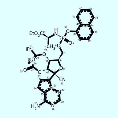 CCOC(=O)[C@H](C)N[P@](=O)(OC[C@H]1O[C@@](C#N)(c2ccc3c(N)ncnn23)[C@H](OC(=O)C(C)C)[C@@H]1OC(=O)C(C)C)Oc1cccc2ccccc12